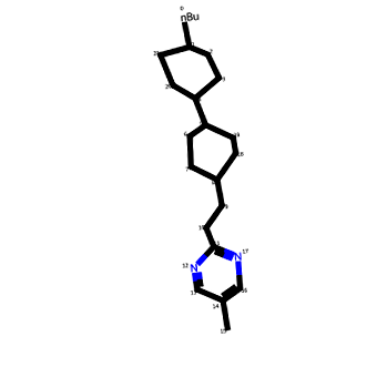 CCCCC1CCC(C2CCC(CCc3ncc(C)cn3)CC2)CC1